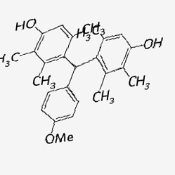 COc1ccc(C(c2c(C)cc(O)c(C)c2C)c2c(C)cc(O)c(C)c2C)cc1